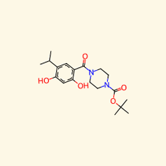 CC(C)c1cc(C(=O)N2CCN(C(=O)OC(C)(C)C)CC2)c(O)cc1O